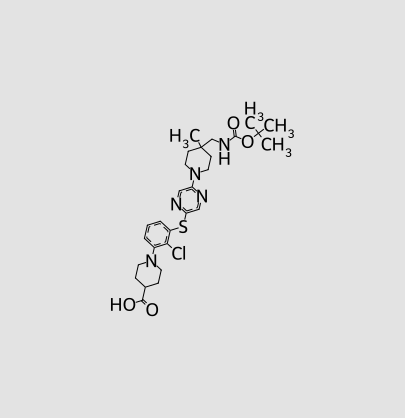 CC1(CNC(=O)OC(C)(C)C)CCN(c2cnc(Sc3cccc(N4CCC(C(=O)O)CC4)c3Cl)cn2)CC1